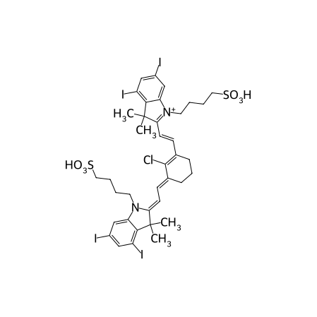 CC1(C)C(/C=C/C2=C(Cl)C(=C/C=C3\N(CCCCS(=O)(=O)O)c4cc(I)cc(I)c4C3(C)C)/CCC2)=[N+](CCCCS(=O)(=O)O)c2cc(I)cc(I)c21